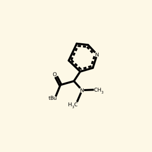 CN(C)C(C(=O)C(C)(C)C)c1cccnc1